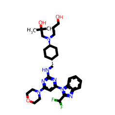 CC(C)(O)CN(CCCO)[C@H]1CC[C@H](CNc2nc(N3CCOCC3)cc(-n3c(C(F)F)nc4ccccc43)n2)CC1